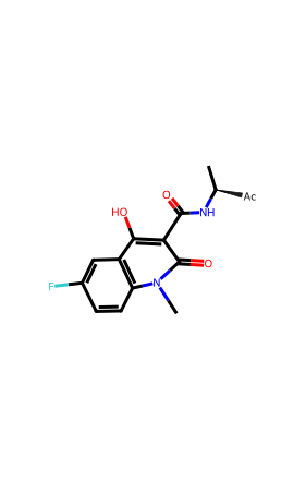 CC(=O)[C@H](C)NC(=O)c1c(O)c2cc(F)ccc2n(C)c1=O